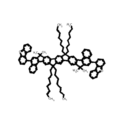 CCCCCCCCC1(CCCCCCCC)c2cc3c(cc2-c2cc4c(cc21)-c1cc2c(cc1C4(CCCCCCCC)CCCCCCCC)-c1c(cc(-c4cccc5oc6ccccc6c45)c4ccccc14)C2(C)C)C(C)(C)c1cc(-c2cccc4oc5ccccc5c24)c2ccccc2c1-3